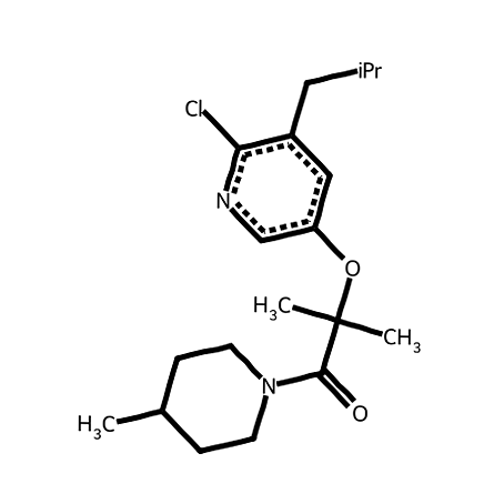 CC(C)Cc1cc(OC(C)(C)C(=O)N2CCC(C)CC2)cnc1Cl